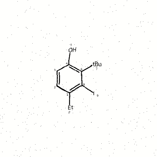 CCc1ccc(O)c(C(C)(C)C)c1I